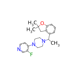 CC(c1cccc2c1CC(C)(C)O2)N1CCN(c2ccncc2F)CC1